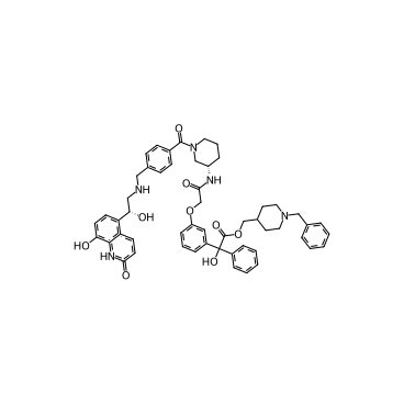 O=C(COc1cccc(C(O)(C(=O)OCC2CCN(Cc3ccccc3)CC2)c2ccccc2)c1)N[C@H]1CCCN(C(=O)c2ccc(CNC[C@H](O)c3ccc(O)c4[nH]c(=O)ccc34)cc2)C1